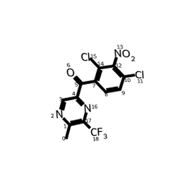 Cc1ncc(C(=O)c2ccc(Cl)c([N+](=O)[O-])c2Cl)nc1C(F)(F)F